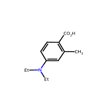 CCN(CC)c1ccc(C(=O)O)c(C)c1